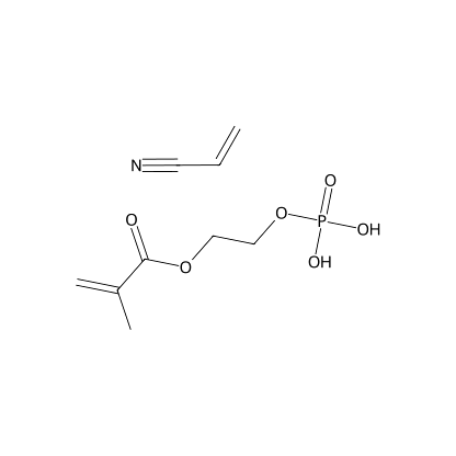 C=C(C)C(=O)OCCOP(=O)(O)O.C=CC#N